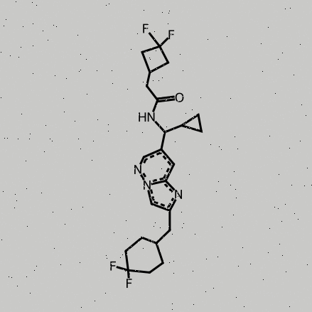 O=C(CC1CC(F)(F)C1)NC(c1cnn2cc(CC3CCC(F)(F)CC3)nc2c1)C1CC1